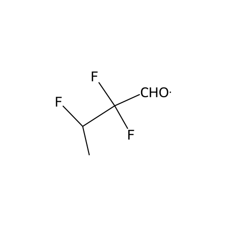 CC(F)C(F)(F)[C]=O